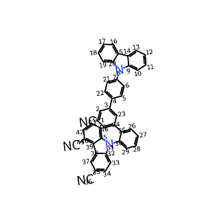 N#Cc1cc(-c2ccc(-n3c4ccccc4c4ccccc43)cc2)cc(-c2ccccc2-n2c3ccc(C#N)cc3c3c(C#N)cccc32)c1